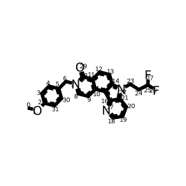 COc1ccc(Cn2ccc3c(ccc4c3c3ncccc3n4CCC(F)F)c2=O)cc1